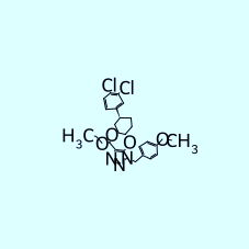 CCOC(=O)c1nnn(Cc2ccc(OC)cc2)c1O[C@H]1CC[C@@H](c2ccc(Cl)c(Cl)c2)CC1